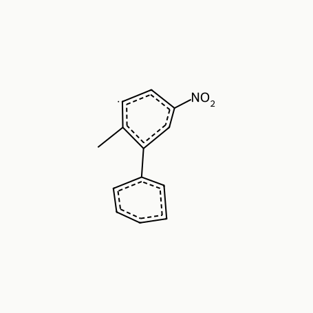 Cc1[c]cc([N+](=O)[O-])cc1-c1ccccc1